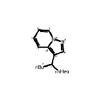 CCCCCCC(CCCC)c1cnn2ccccc12